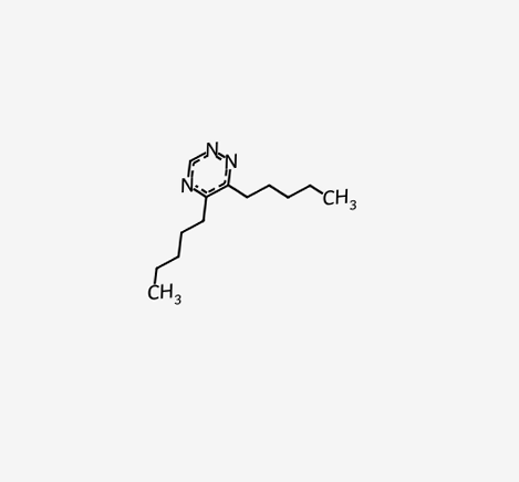 CCCCCc1ncnnc1CCCCC